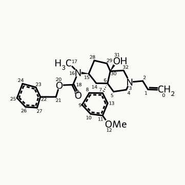 C=CCN1CC[C@@]2(c3cccc(OC)c3)C[C@@H](N(C)C(=O)OCc3ccccc3)CC[C@]2(O)C1